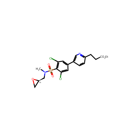 CCOC(=O)CCc1ccc(-c2cc(Cl)c(S(=O)(=O)N(C)C[C@H]3CO3)c(Cl)c2)cn1